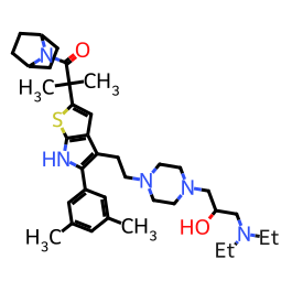 CCN(CC)CC(O)CN1CCN(CCc2c(-c3cc(C)cc(C)c3)[nH]c3sc(C(C)(C)C(=O)N4C5CCC4CC5)cc23)CC1